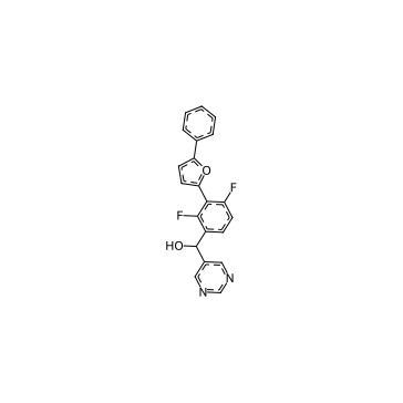 OC(c1cncnc1)c1ccc(F)c(-c2ccc(-c3ccccc3)o2)c1F